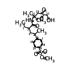 CCC(CC(C)c1ccc(S(=O)(=O)OC)cc1)C(=O)NC(C)(C)CS(=O)(=O)CO